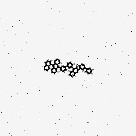 c1ccc2c(-c3c4ccccc4c(-c4ccc5sc6c(-c7c8ccccc8cc8c7oc7ccc9c%10ccccc%10oc9c78)cccc6c5c4)c4ccccc34)cccc2c1